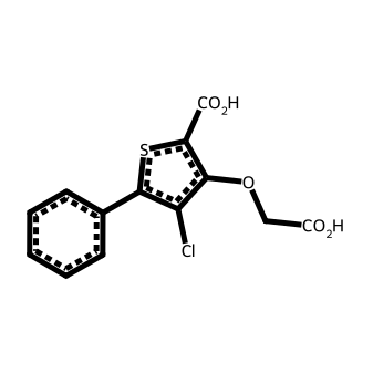 O=C(O)COc1c(C(=O)O)sc(-c2ccccc2)c1Cl